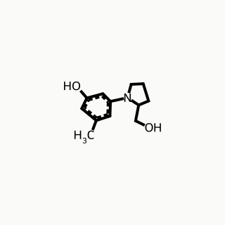 Cc1cc(O)cc(N2CCCC2CO)c1